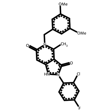 COc1cc(Cn2c(C)c3c(=O)n(-c4ccc(F)cc4Cl)[nH]c3cc2=O)cc(OC)c1